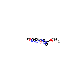 COCCCn1c(C2CCCN(C(=O)CC(N)Cc3ccc(-c4ccc(OCC5CC5)nc4)cc3)C2)nc2ccccc21